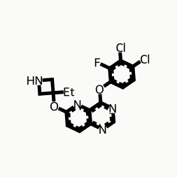 CCC1(Oc2ccc3ncnc(Oc4ccc(Cl)c(Cl)c4F)c3n2)CNC1